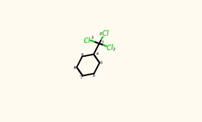 ClC(Cl)(Cl)C1CC[CH]CC1